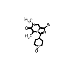 CC1C(=O)N(C)Cc2c(Br)nc(C3CC[S+]([O-])CC3)n21